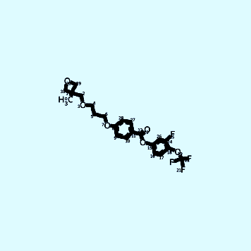 CC1(COCCCOc2ccc(C(=O)Oc3ccc(OC(F)(F)F)c(F)c3)cc2)COC1